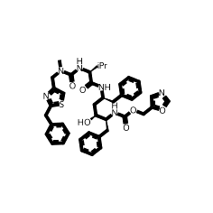 CC(C)[C@H](NC(=O)N(C)Cc1csc(Cc2ccccc2)n1)C(=O)N[C@@H](Cc1ccccc1)C[C@H](O)[C@H](Cc1ccccc1)NC(=O)OCc1cnco1